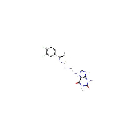 CC(C)C1=C(c2ccc(Cl)c(Cl)c2)N[C@@H](NCCn2cnc3c2c(=O)n(C)c(=O)n3C)S1